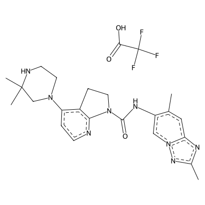 Cc1nc2cc(C)c(NC(=O)N3CCc4c(N5CCNC(C)(C)C5)ccnc43)cn2n1.O=C(O)C(F)(F)F